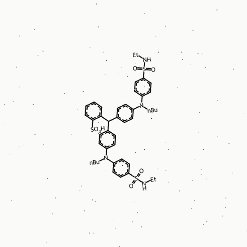 CCCCN(c1ccc(C(c2ccc(N(CCCC)c3ccc(S(=O)(=O)NCC)cc3)cc2)c2ccccc2S(=O)(=O)O)cc1)c1ccc(S(=O)(=O)NCC)cc1